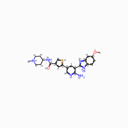 COc1ccc2[nH]c(-c3cc(-c4cc(C(=O)NC5CCN(C)CC5)cs4)cnc3N)nc2c1